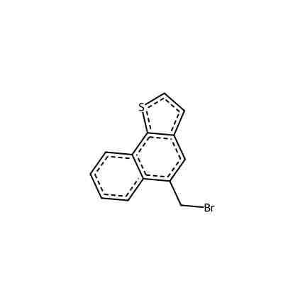 BrCc1cc2ccsc2c2ccccc12